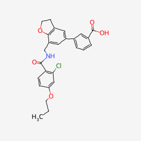 CCCOc1ccc(C(=O)NCc2cc(-c3cccc(C(=O)O)c3)cc3c2OCC3)c(Cl)c1